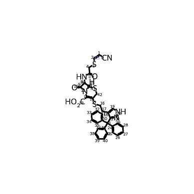 N#C/C=C\SCC(=O)N[C@@H]1C(=O)N2C(C(=O)O)=C(SCCc3c[nH]nc3C(c3ccccc3)(c3ccccc3)c3ccccc3)CS[C@@H]12